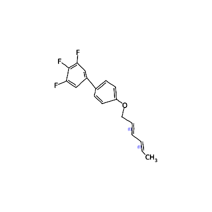 C/C=C/C=C/COc1ccc(-c2cc(F)c(F)c(F)c2)cc1